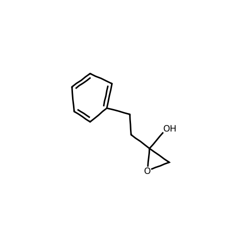 OC1(CCc2ccccc2)CO1